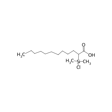 CCCCCCCCCCC(C(=O)O)[Si](C)(C)Cl